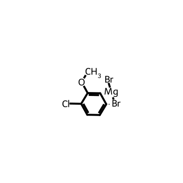 COc1c[c]ccc1Cl.[Br][Mg][Br]